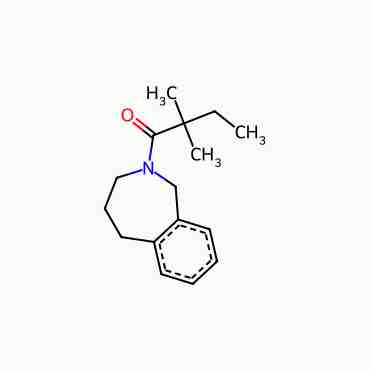 CCC(C)(C)C(=O)N1CCCc2ccccc2C1